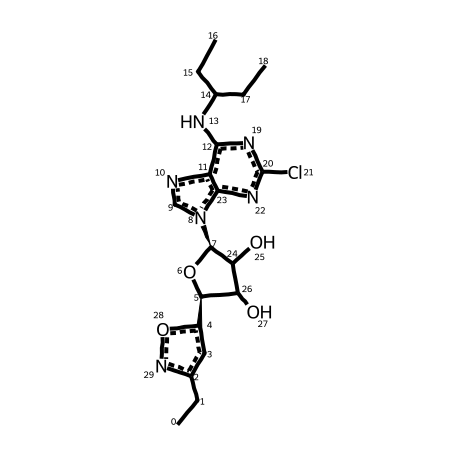 CCc1cc([C@H]2O[C@@H](n3cnc4c(NC(CC)CC)nc(Cl)nc43)C(O)C2O)on1